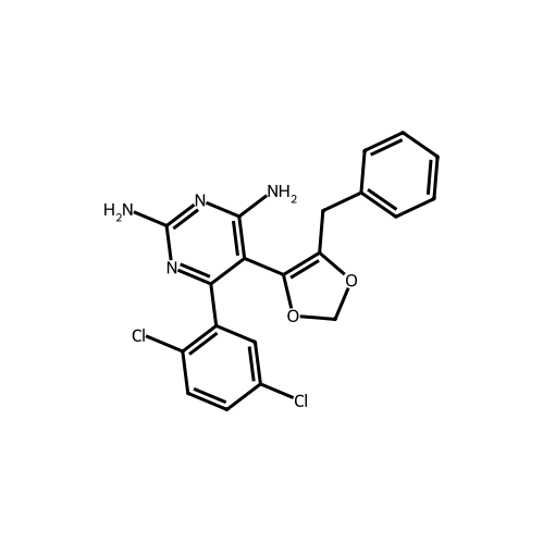 Nc1nc(N)c(C2=C(Cc3ccccc3)OCO2)c(-c2cc(Cl)ccc2Cl)n1